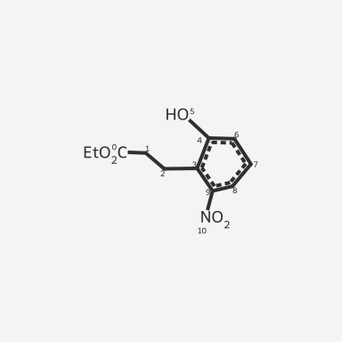 CCOC(=O)CCc1c(O)cccc1[N+](=O)[O-]